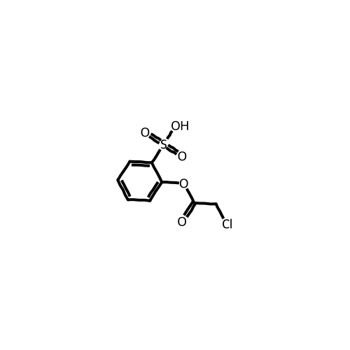 O=C(CCl)Oc1ccccc1S(=O)(=O)O